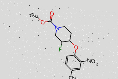 CC(C)(C)OC(=O)N1CCC(Oc2ccc(C#N)cc2[N+](=O)[O-])C(F)C1